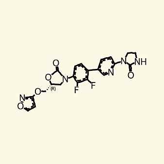 O=C1NCCN1c1ccc(-c2ccc(N3C[C@H](COc4ccon4)OC3=O)c(F)c2F)cn1